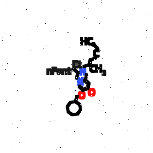 C#CC=C=C/C=C(\C)CN1Cc2cc(=O)c(OCC3CCCCCCC3)cn2CC1[C@@H](CC)CCCCC